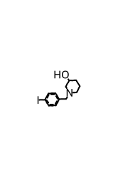 OC1CCCN(Cc2ccc(I)cc2)C1